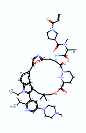 C=CC(=O)N1CC[C@H](C(=O)N(C)C(C(=O)N[C@H]2Cc3ncc(o3)-c3ccc4c(c3)c(c(-c3cc(N5CCN(C)CC5)cnc3[C@H](C)OC)n4CC(F)(F)F)CC(C)(C)COC(=O)[C@@H]3CCCN(N3)C2=O)C(C)C)C1